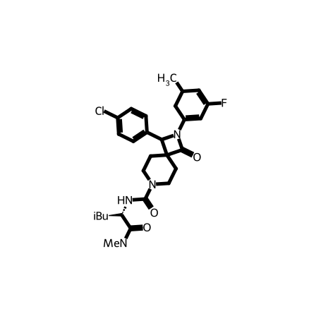 CC[C@H](C)[C@H](NC(=O)N1CCC2(CC1)C(=O)N(C1=CC(F)=CC(C)C1)C2c1ccc(Cl)cc1)C(=O)NC